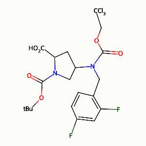 CC(C)(C)OC(=O)N1CC(N(Cc2ccc(F)cc2F)C(=O)OCC(Cl)(Cl)Cl)CC1C(=O)O